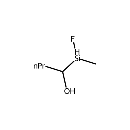 CCCC(O)[SiH](C)F